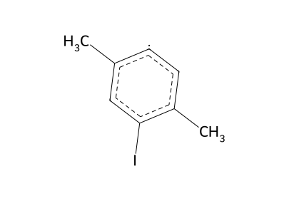 Cc1[c]cc(C)c(I)c1